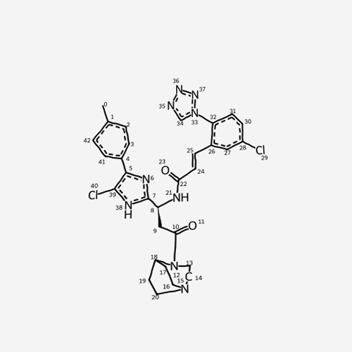 Cc1ccc(-c2nc([C@H](CC(=O)N3CCN4CCC3CC4)NC(=O)/C=C/c3cc(Cl)ccc3-n3cnnn3)[nH]c2Cl)cc1